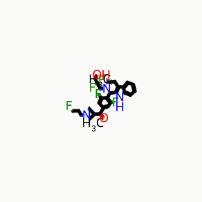 COC(c1cc(F)c(C2c3[nH]c4ccccc4c3C[C@@H](C)N2CC(F)(F)CO)c(F)c1)C1CN(CCCF)C1